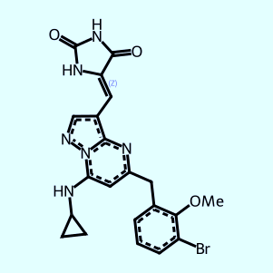 COc1c(Br)cccc1Cc1cc(NC2CC2)n2ncc(/C=C3\NC(=O)NC3=O)c2n1